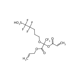 C=CCOC(=O)C(OCCCC(F)(F)C(F)(F)S(=O)(=O)O)(OC(=O)C=C)C(F)(F)F